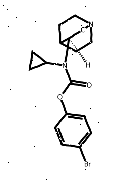 O=C(Oc1ccc(Br)cc1)N(C1CC1)[C@@H]1CN2CCC1CC2